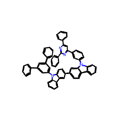 c1ccc(-c2cc(-c3ccccc3)cc(-n3c4ccccc4c4cc(-c5ccc6c7ccccc7n(-c7cccc(-c8cc(-c9ccccc9)nc(-c9ccccc9)n8)c7)c6c5)ccc43)c2)cc1